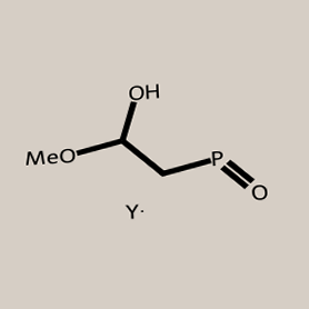 COC(O)CP=O.[Y]